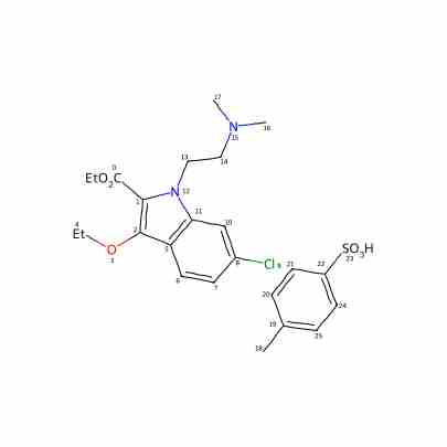 CCOC(=O)c1c(OCC)c2ccc(Cl)cc2n1CCN(C)C.Cc1ccc(S(=O)(=O)O)cc1